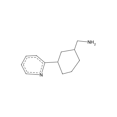 NCC1CCCC(c2ccccn2)C1